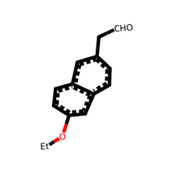 CCOc1ccc2cc(CC=O)ccc2c1